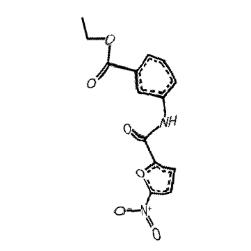 CCOC(=O)c1cccc(NC(=O)c2ccc([N+](=O)[O-])o2)c1